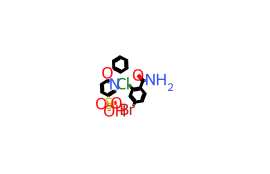 NC(=O)c1ccc(Br)cc1Cl.O=S(=O)(O)c1ccc(Oc2ccccc2)nc1